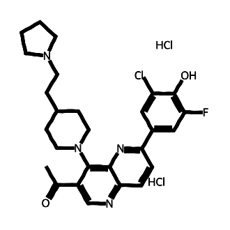 CC(=O)c1cnc2ccc(-c3cc(F)c(O)c(Cl)c3)nc2c1N1CCC(CCN2CCCC2)CC1.Cl.Cl